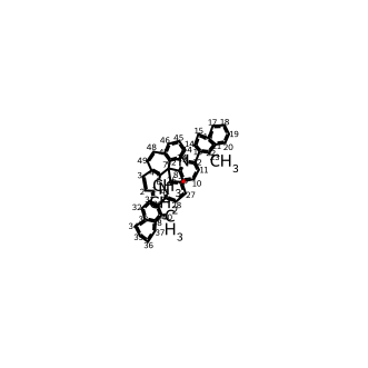 C=C/C=C\C1=C(C)C(c2cccc(-c3ccc4ccccc4c3C)n2)(c2cccc(-c3ccc4ccccc4c3C)n2)c2ccccc2C=C1